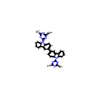 CC(C)c1nc(C(C)C)nc(-n2c3ccccc3c3cc(-c4ccc5c(c4)c4ccccc4n5-c4nc(C(C)C)nc(C(C)C)n4)ccc32)n1